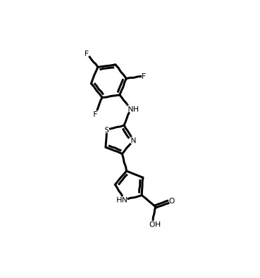 O=C(O)c1cc(-c2csc(Nc3c(F)cc(F)cc3F)n2)c[nH]1